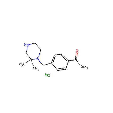 COC(=O)c1ccc(CN2CCNCC2(C)C)cc1.Cl